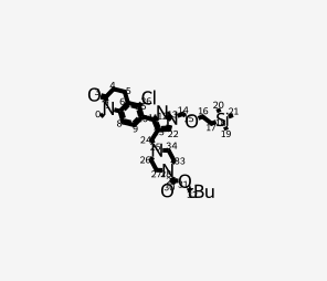 CN1C(=O)CCc2c1ccc(-c1nn(COCC[Si](C)(C)C)cc1CN1CCN(C(=O)OC(C)(C)C)CC1)c2Cl